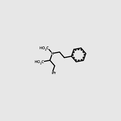 CC(C)CC(C(=O)O)N(CCc1ccccc1)C(=O)O